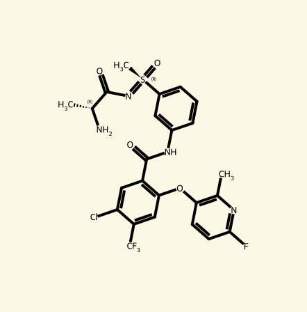 Cc1nc(F)ccc1Oc1cc(C(F)(F)F)c(Cl)cc1C(=O)Nc1cccc([S@@](C)(=O)=NC(=O)[C@@H](C)N)c1